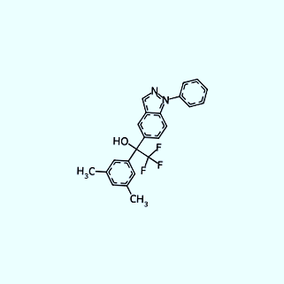 Cc1cc(C)cc(C(O)(c2ccc3c(cnn3-c3ccccc3)c2)C(F)(F)F)c1